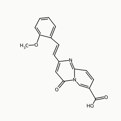 COc1ccccc1C=Cc1cc(=O)n2cc(C(=O)O)ccc2n1